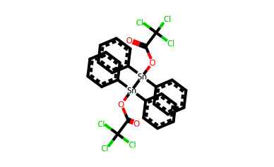 O=C([O][Sn]([c]1ccccc1)([c]1ccccc1)[Sn]([O]C(=O)C(Cl)(Cl)Cl)([c]1ccccc1)[c]1ccccc1)C(Cl)(Cl)Cl